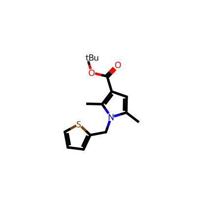 Cc1cc(C(=O)OC(C)(C)C)c(C)n1Cc1cccs1